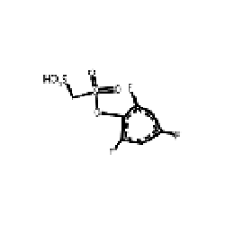 O=S(=O)(O)CS(=O)(=O)Oc1c(F)cc(F)cc1F